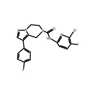 O=C(Nc1ccc(F)c(Cl)n1)N1CCn2ncc(-c3ccc(F)cc3)c2C1